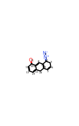 [N-]=[N+]=C1CC=CC2=C1C=C1C(=O)C=CC=C1C2